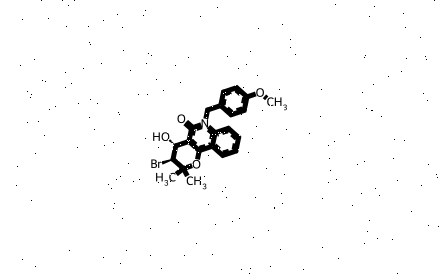 COc1ccc(Cn2c(=O)c3c(c4ccccc42)OC(C)(C)[C@@H](Br)[C@@H]3O)cc1